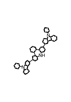 c1ccc(-n2c3ccccc3c3cc(-c4ccc5c(c4)-c4ccccc4-c4cc(-c6ccc7c(c6)c6ccccc6n7-c6ccccc6)ccc4N5)ccc32)cc1